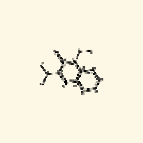 CCn1c(=O)c(C(C)C)nc2ccccc21